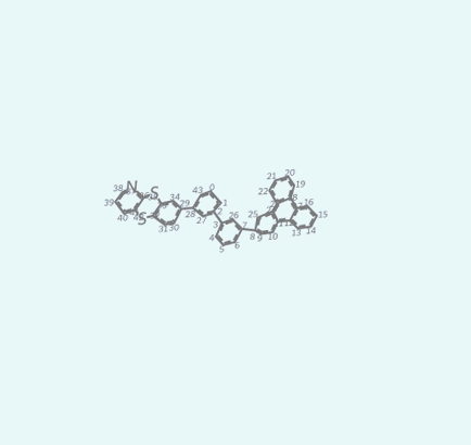 c1cc(-c2cccc(-c3ccc4c5ccccc5c5ccccc5c4c3)c2)cc(-c2ccc3c(c2)Sc2ncccc2S3)c1